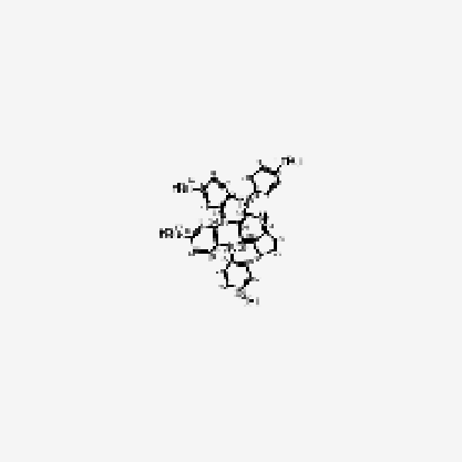 CC(C)(C)c1ccc(N2c3ccc(C(C)(C)C)cc3B3c4cc(C(C)(C)C)ccc4N(c4ccc(C(C)(C)C)cc4)c4c5c(nc2c43)CCC5)cc1